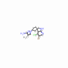 Cc1cn(C2CCC3(CNc4ncc(Br)c(Cl)c43)C2)nc1N